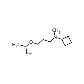 C[C@H](S)OCCCN(C)C1CCC1